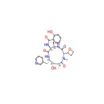 C[C@H]1NC(=O)C(C2CCO2)N(C)C(=O)[C@H](C)[C@H](O)[C@H](Cc2cccnc2)NC(=O)[C@H]1NC(=O)c1ccccc1O